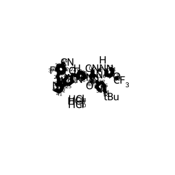 Cc1nc(Nc2ccc(OC(F)(F)F)cn2)nc2c1n(-c1ccc(C(=O)N3CCc4c(n(Cc5ccc(C#N)cc5F)c5ncccc45)C3)nc1)c(=O)n2C1CCN(CC(C)(C)C)CC1.Cl.Cl.Cl